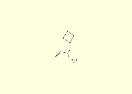 C=CC(CC1CCC1)C(=O)O